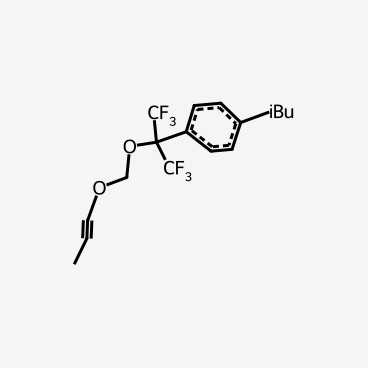 CC#COCOC(c1ccc(C(C)CC)cc1)(C(F)(F)F)C(F)(F)F